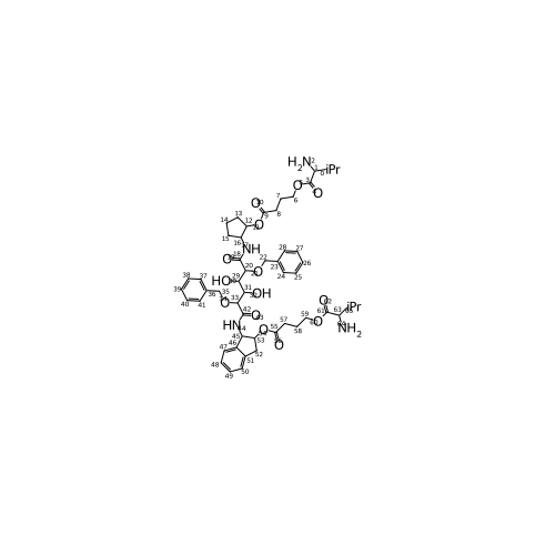 CC(C)C(N)C(=O)OCCCC(=O)OC1CCCC1NC(=O)C(OCc1ccccc1)C(O)C(O)C(OCc1ccccc1)C(=O)NC1c2ccccc2CC1OC(=O)CCCOC(=O)C(N)C(C)C